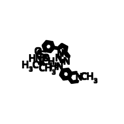 CN1CCc2ccc(Nc3ncc4ccc(-c5cccc(S(=O)(=O)NC(C)(C)C)c5)n4n3)cc2C1